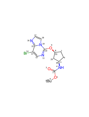 CC(C)(C)OC(=O)N[C@@H]1CC[C@H](Oc2ncc(Br)c3nccn23)C1